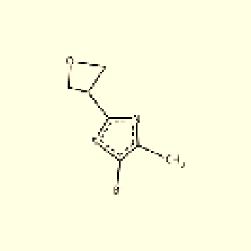 Cc1nc(C2COC2)sc1Br